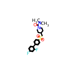 CN(C)C(=O)N1CCC(CS(=O)(=O)c2ccc(-c3ccc(F)cc3F)cc2)CC1